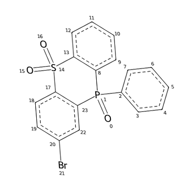 O=P1(c2ccccc2)c2ccccc2S(=O)(=O)c2ccc(Br)cc21